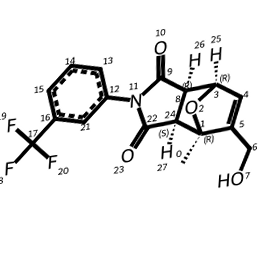 C[C@]12O[C@H](C=C1CO)[C@@H]1C(=O)N(c3cccc(C(F)(F)F)c3)C(=O)[C@@H]12